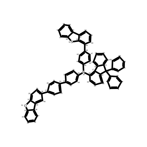 c1ccc(C2(c3ccccc3)c3ccccc3-c3c(N(c4ccc(-c5ccc(-c6ccc7oc8ccccc8c7c6)cc5)cc4)c4ccc(-c5cccc6c5sc5ccccc56)cc4)cccc32)cc1